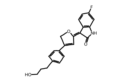 O=C1Nc2cc(F)ccc2C1=C1C=C(c2ccc(CCCO)cc2)CO1